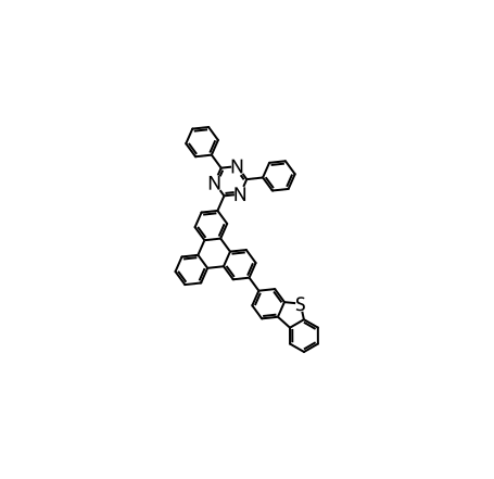 c1ccc(-c2nc(-c3ccccc3)nc(-c3ccc4c5ccccc5c5cc(-c6ccc7c(c6)sc6ccccc67)ccc5c4c3)n2)cc1